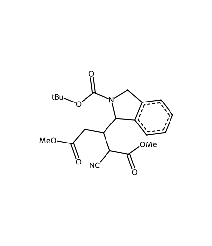 COC(=O)CC(C(C#N)C(=O)OC)C1c2ccccc2CN1C(=O)OC(C)(C)C